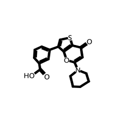 O=C(O)c1cccc(-c2csc3c(=O)cc(N4CCCCC4)oc23)c1